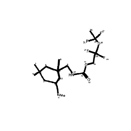 CNC1CC(C)(C)CC(C)(CNC(=O)OCC(F)(F)OC(C)(F)F)C1